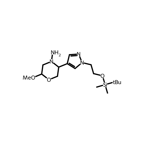 COC1CN(N)C(c2cnn(CCO[Si](C)(C)C(C)(C)C)c2)CO1